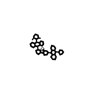 Cc1cccc(C)c1-c1c2ccccc2c(-c2cccc3c2oc2cc(-c4c5ccccc5c(-c5ccccc5)c5ccccc45)ccc23)c2ccccc12